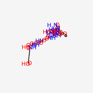 CC[C@H](C)[C@@H](C(=O)N1CCC[C@H]1CC(N)=O)N(C)C(=O)[C@H](CC(C)C)NC(=O)[C@H](C)NC(=O)[C@H](CC(=O)O)NC(=O)[C@H](CCCCNC(=O)COCCOCCNC(=O)COCCOCCNC(=O)CC[C@@H](NC(=O)CCCCCCCCCCCCCCC(=O)O)C(=O)O)NC(=O)CCCNS(=O)(=O)c1ccc(Oc2ccccc2)cc1